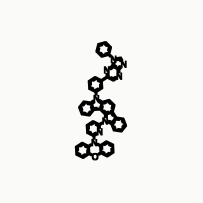 c1ccc(-n2cnc3ncc(-c4cccc(-n5c6ccccc6c6c5ccc5c7ccccc7n(-c7cccc(N8c9ccccc9Oc9ccccc98)n7)c56)c4)nc32)cc1